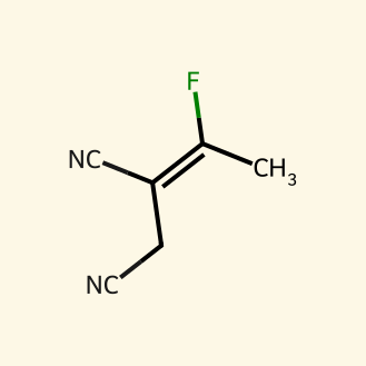 C/C(F)=C(/C#N)CC#N